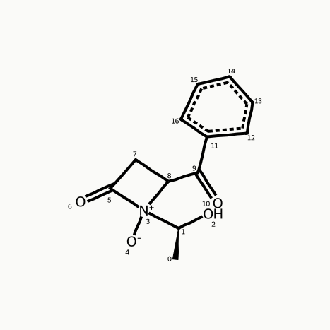 C[C@H](O)[N+]1([O-])C(=O)CC1C(=O)c1ccccc1